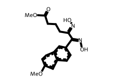 COC(=O)CCCC(=N\O)/C(=N/O)c1ccc2cc(OC)ccc2c1